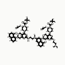 CN(C)CCSc1nc2c(c(N3CCN(C(=O)OC(C)(C)C)[C@@H](CC#N)C3)n1)CO[C@H](c1cc(N(C)CCNc3nc4c(c(N5CCN(C(=O)OC(C)(C)C)[C@@H](CC#N)C5)n3)CO[C@H](c3cccc5cccc(Cl)c35)C4)cc3cccc(Cl)c13)C2